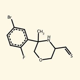 CC1(c2cc(Br)ccc2F)COCC(C=S)N1